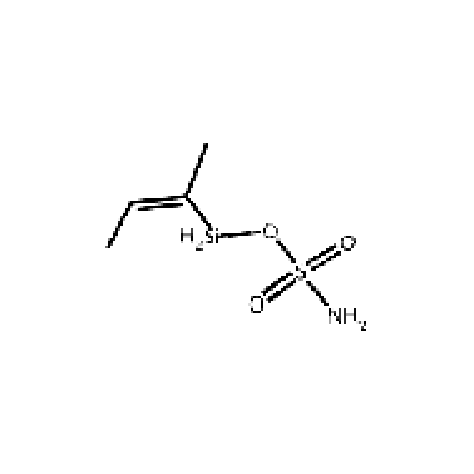 CC=C(C)[SiH2]OS(N)(=O)=O